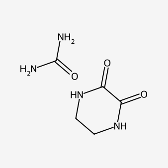 NC(N)=O.O=C1NCCNC1=O